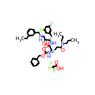 CCCN(CCC)C(=O)CC[C@H](NC(=O)OCc1ccccc1)C(=O)N[C@@H](Cc1cc(F)cc(F)c1)[C@H](O)CNCc1cccc(CC)c1.O=C(O)C(F)(F)F